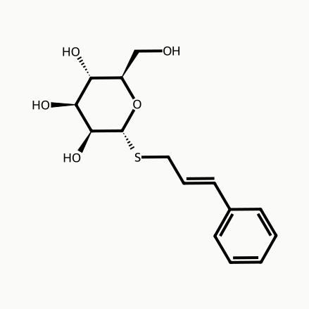 OC[C@H]1O[C@H](SCC=Cc2ccccc2)[C@@H](O)[C@@H](O)[C@@H]1O